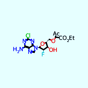 CCOC(=O)C(OC[C@H]1O[C@@H](n2cnc3c(N)nc(Cl)nc32)[C@@H](F)[C@@H]1O)C(C)=O